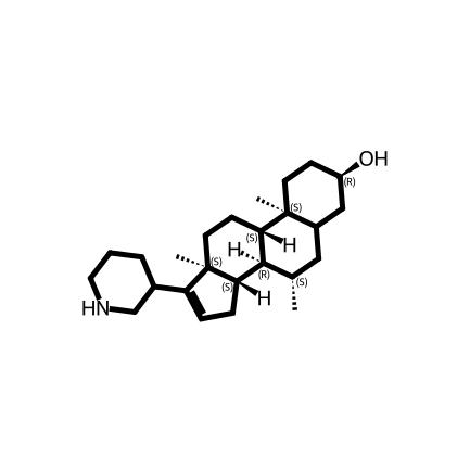 C[C@H]1CC2C[C@H](O)CC[C@]2(C)[C@H]2CC[C@]3(C)C(C4CCCNC4)=CC[C@H]3[C@H]12